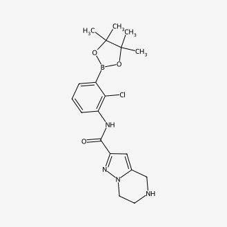 CC1(C)OB(c2cccc(NC(=O)c3cc4n(n3)CCNC4)c2Cl)OC1(C)C